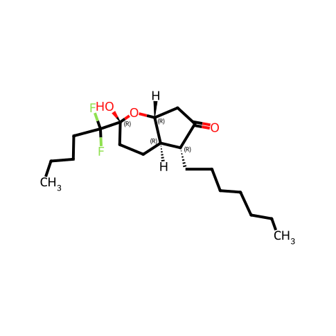 CCCCCCC[C@H]1C(=O)C[C@H]2O[C@@](O)(C(F)(F)CCCC)CC[C@@H]21